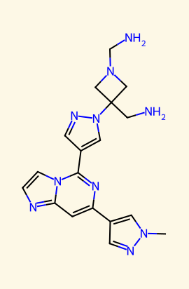 Cn1cc(-c2cc3nccn3c(-c3cnn(C4(CN)CN(CN)C4)c3)n2)cn1